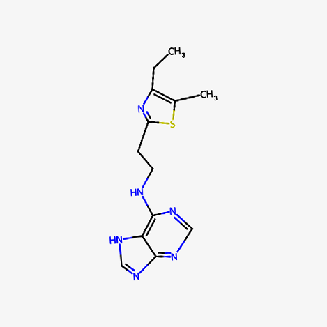 CCc1nc(CCNc2ncnc3nc[nH]c23)sc1C